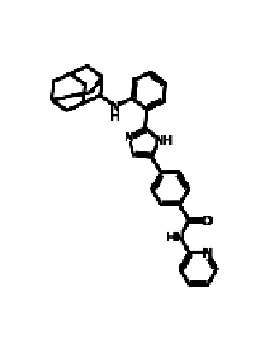 O=C(Nc1ccccn1)c1ccc(-c2cnc(-c3ccccc3NC3C4CC5CC(C4)CC3C5)[nH]2)cc1